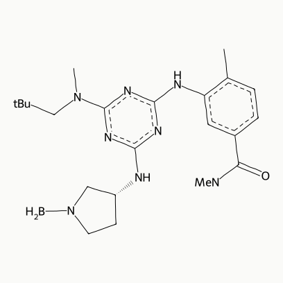 BN1CC[C@@H](Nc2nc(Nc3cc(C(=O)NC)ccc3C)nc(N(C)CC(C)(C)C)n2)C1